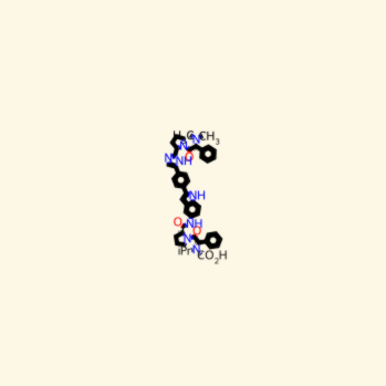 CC(C)N(C(=O)O)[C@@H](C(=O)N1CCC[C@H]1C(=O)Nc1ccc2[nH]c(-c3ccc(-c4cnc(C5CCCN5C(=O)[C@H](c5ccccc5)N(C)C)[nH]4)cc3)cc2c1)c1ccccc1